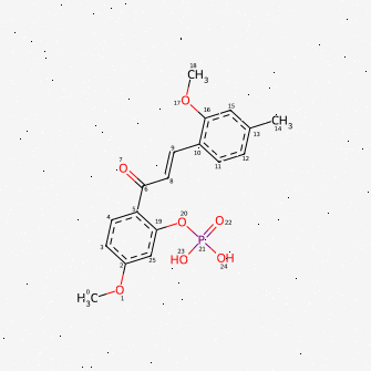 COc1ccc(C(=O)/C=C/c2ccc(C)cc2OC)c(OP(=O)(O)O)c1